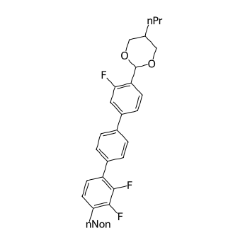 CCCCCCCCCc1ccc(-c2ccc(-c3ccc(C4OCC(CCC)CO4)c(F)c3)cc2)c(F)c1F